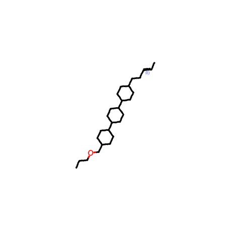 C/C=C/CCC1CCC(C2CCC(C3CCC(COCCC)CC3)CC2)CC1